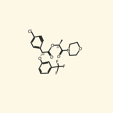 C[C@H](OC(=O)[C@H](Oc1cccc(C(F)(F)F)c1)c1c#cc(Cl)cc1)C(=O)N1CCOCC1